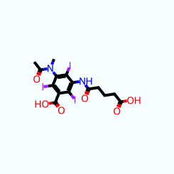 CC(=O)N(C)c1c(I)c(NC(=O)CCCC(=O)O)c(I)c(C(=O)O)c1I